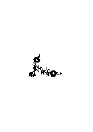 O=S(=O)(NCCNc1nc(Oc2ccc(F)cc2)cc(-n2cnnc2)n1)c1ccc(C(F)(F)F)cc1